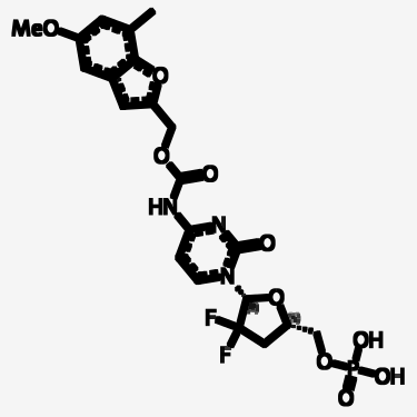 COc1cc(C)c2oc(COC(=O)Nc3ccn([C@@H]4O[C@H](COP(=O)(O)O)CC4(F)F)c(=O)n3)cc2c1